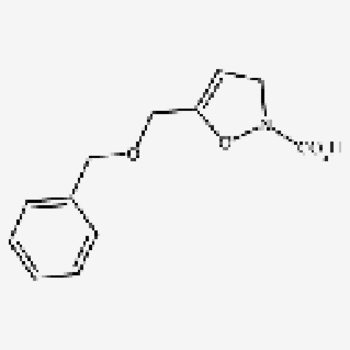 O=C(O)N1CC=C(COCc2ccccc2)O1